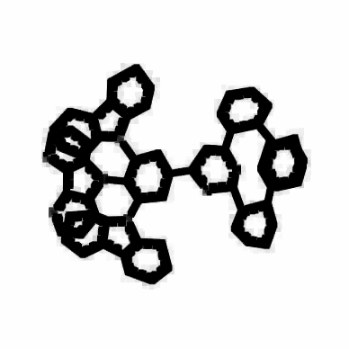 c1ccc(-c2ccccc2-c2cc(-c3cc(-n4c5ccccc5c5ccccc54)c(-n4c5cccnc5c5ncccc54)c(-n4c5ccccc5c5ccccc54)c3)nc(-c3ccccc3-c3ccccc3)n2)cc1